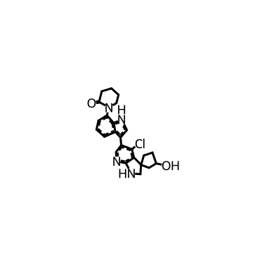 O=C1CCCCN1c1cccc2c(-c3cnc4c(c3Cl)C3(CCC(O)C3)CN4)c[nH]c12